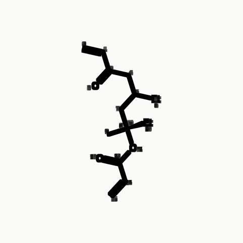 C=CC(=O)CC(CC)C[C@](C)(CC)OC(=O)C=C